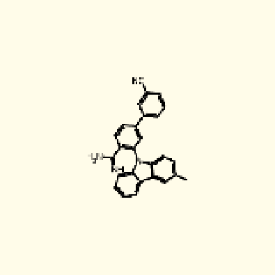 Cc1ccc2c(c1)c1ccccc1n2-c1cc(-c2cccc(C#N)c2)ccc1C(=N)N